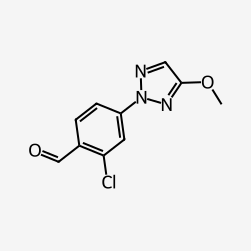 COc1cnn(-c2ccc(C=O)c(Cl)c2)n1